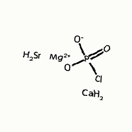 O=P([O-])([O-])Cl.[CaH2].[Mg+2].[SrH2]